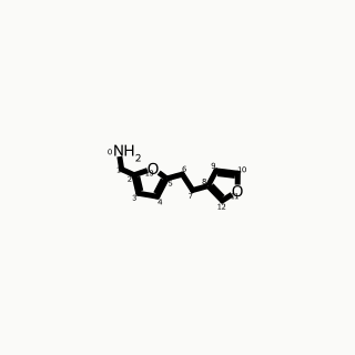 NCc1ccc(CCc2ccoc2)o1